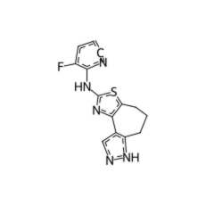 Fc1cccnc1Nc1nc2c(s1)CCCc1[nH]ncc1-2